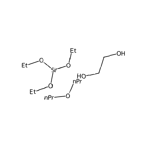 CCCOCCC.CCO[Si](OCC)OCC.OCCO